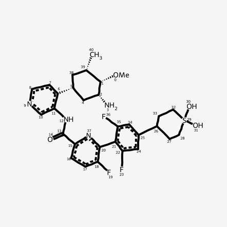 CO[C@@H]1[C@H](N)C[C@H](c2ccncc2NC(=O)c2ccc(F)c(-c3c(F)cc(C4CCS(O)(O)CC4)cc3F)n2)C[C@@H]1C